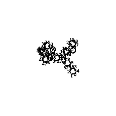 c1ccc(-c2ccc(N(c3ccc4c(c3)oc3ccccc34)c3ccc4oc5c(c4c3)Oc3ccccc3C53c4ccccc4-c4ccccc43)cc2)cc1